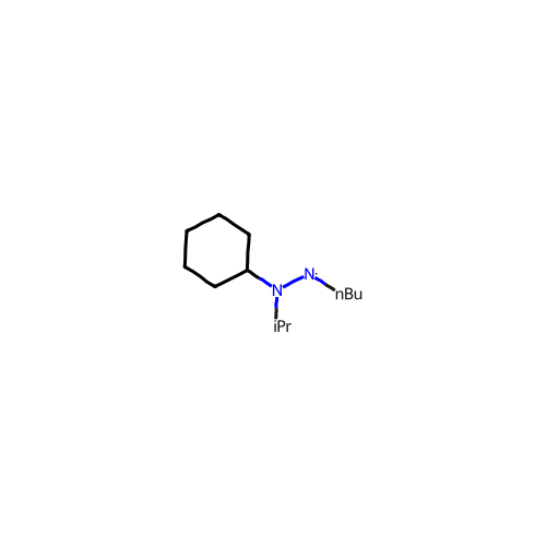 CCCC[N]N(C(C)C)C1CCCCC1